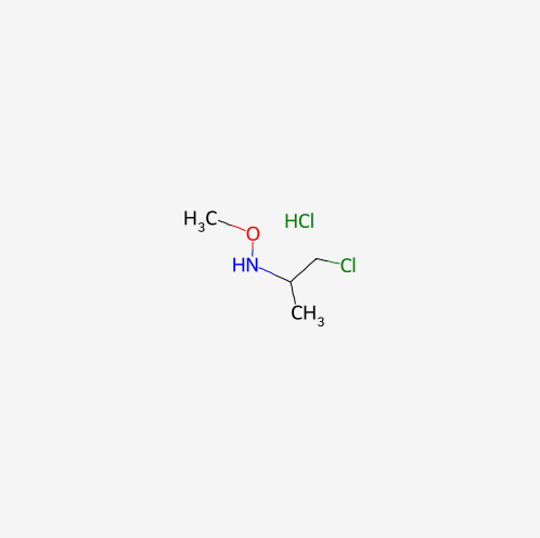 CONC(C)CCl.Cl